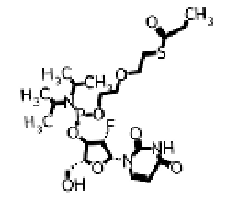 CCC(=O)SCCOCCOP(OC1[C@@H](CO)O[C@@H](n2ccc(=O)[nH]c2=O)[C@H]1F)N(C(C)C)C(C)C